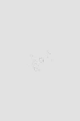 CCOc1nc(Nc2ccc([C@H](C)N3CCN4CCC[C@@H]4C3)cc2OC)nc2[nH]ccc12